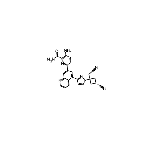 N#CC[C@]1(n2ccc(-c3nc(-c4ccc(N)c(C(N)=O)n4)cc4ncccc34)n2)C[C@@H](C#N)C1